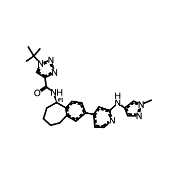 Cn1cc(Nc2cc(-c3ccc4c(c3)CCCC[C@H]4NC(=O)c3cn(C(C)(C)C)nn3)ccn2)cn1